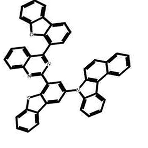 c1ccc2c(c1)ccc1c2c2ccccc2n1-c1cc(-c2nc(-c3cccc4c3oc3ccccc34)c3ccccc3n2)c2sc3ccccc3c2c1